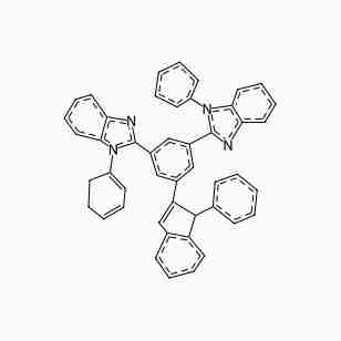 C1=CCCC(n2c(-c3cc(C4=Cc5ccccc5C4c4ccccc4)cc(-c4nc5ccccc5n4-c4ccccc4)c3)nc3ccccc32)=C1